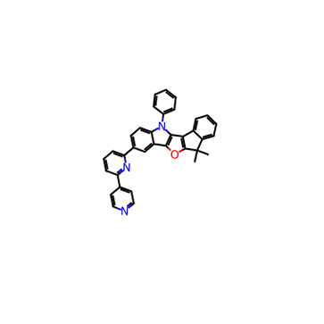 CC1(C)c2ccccc2-c2c1oc1c3cc(-c4cccc(-c5ccncc5)n4)ccc3n(-c3ccccc3)c21